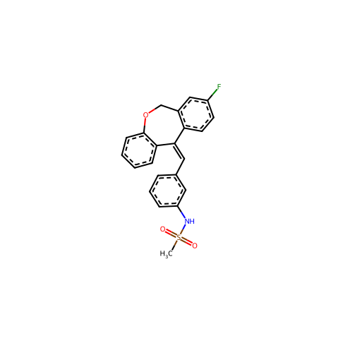 CS(=O)(=O)Nc1cccc(/C=C2/c3ccc(F)cc3COc3ccccc32)c1